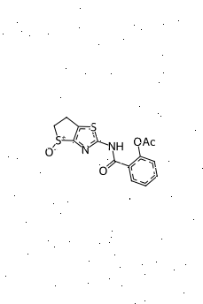 CC(=O)Oc1ccccc1C(=O)Nc1nc2c(s1)CC[S+]2[O-]